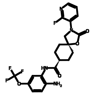 Nc1ccc(OC(F)(F)F)cc1NC(=O)[C@H]1CC[C@]2(CC1)CN(c1cccnc1F)C(=O)O2